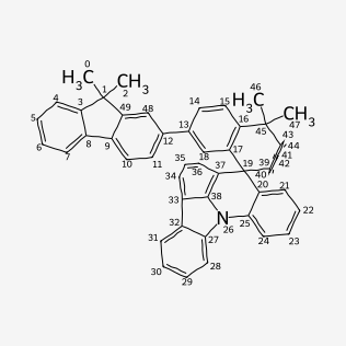 CC1(C)c2ccccc2-c2ccc(-c3ccc4c(c3)C3(c5ccccc5-n5c6ccccc6c6cccc3c65)c3ccccc3C4(C)C)cc21